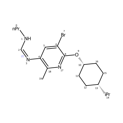 CCCN/C=N\c1cc(Br)c(O[C@H]2CC[C@@H](C(C)C)CC2)nc1C